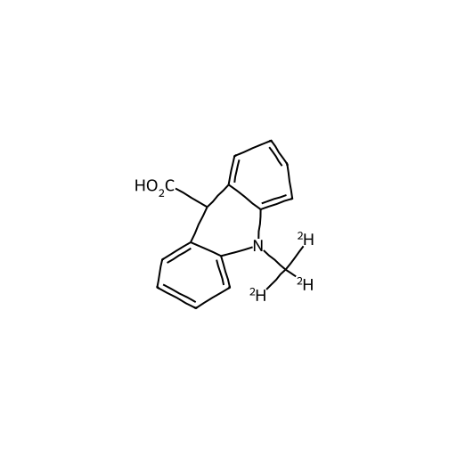 [2H]C([2H])([2H])N1c2ccccc2C(C(=O)O)c2ccccc21